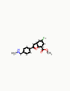 CNCc1ccc(-c2cc3cc(F)cc(C(=O)OC)c3o2)cc1